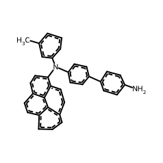 Cc1cccc(N(c2ccc(-c3ccc(N)cc3)cc2)c2ccc3ccc4cccc5ccc2c3c45)c1